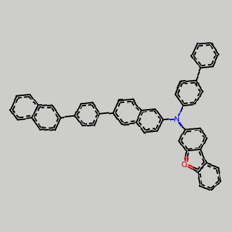 c1ccc(-c2ccc(N(c3ccc4cc(-c5ccc(-c6ccc7ccccc7c6)cc5)ccc4c3)c3ccc4c(c3)oc3ccccc34)cc2)cc1